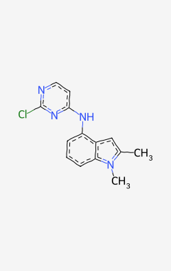 Cc1cc2c(Nc3ccnc(Cl)n3)cccc2n1C